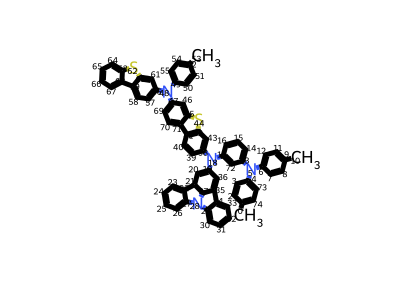 Cc1ccc(N(c2ccc(C)cc2)c2cccc(N(C3=CC4c5ccccc5N5c6ccccc6C(=C3)C45)c3ccc4c(c3)sc3cc(N(c5ccc(C)cc5)c5ccc6c(c5)sc5ccccc56)ccc34)c2)cc1